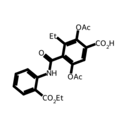 CCOC(=O)c1ccccc1NC(=O)c1c(OC(C)=O)cc(C(=O)O)c(OC(C)=O)c1CC